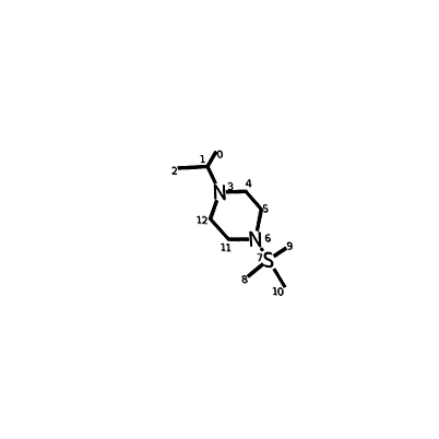 CC(C)N1CCN(S(C)(C)C)CC1